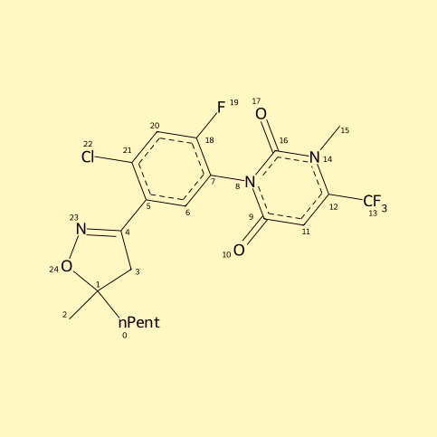 CCCCCC1(C)CC(c2cc(-n3c(=O)cc(C(F)(F)F)n(C)c3=O)c(F)cc2Cl)=NO1